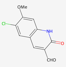 COc1cc2[nH]c(=O)c(C=O)cc2cc1Cl